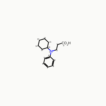 O=C(O)CCN(c1ccccc1)C1CCCCC1